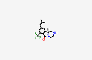 CC(C)=Cc1cc2c(c(C(F)(F)F)c1)C(=O)N1CCNC[C@@H]21